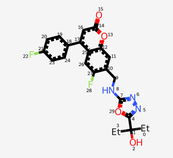 CCC(O)(CC)c1nnc(NCc2cc3oc(=O)cc(-c4ccc(F)cc4)c3cc2F)o1